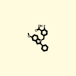 COc1ccc2c(c1)cc(-c1ccccc1)n2Cc1ccc(F)c(C(=O)O)c1